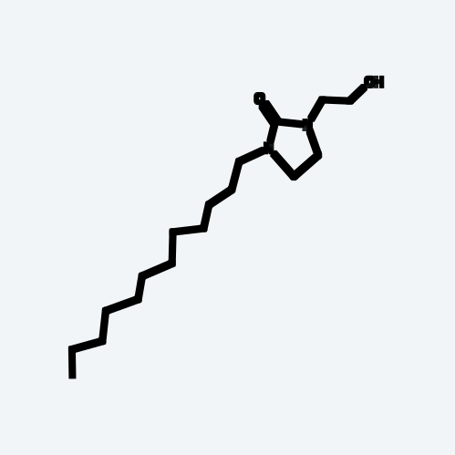 CCCCCCCCCCCCN1CCN(CCO)C1=O